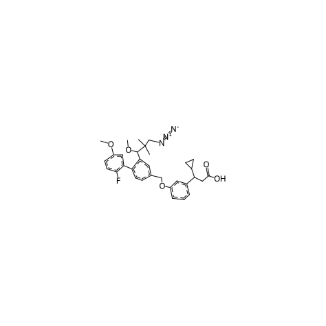 COc1ccc(F)c(-c2ccc(COc3cccc(C(CC(=O)O)C4CC4)c3)cc2C(OC)C(C)(C)CN=[N+]=[N-])c1